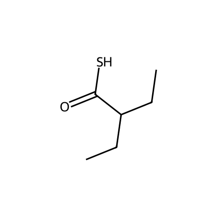 CCC(CC)C(=O)S